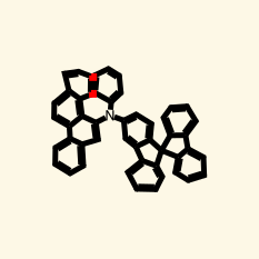 c1ccc(N(c2ccc3c(c2)-c2ccccc2C32c3ccccc3-c3ccccc32)c2cc3ccccc3c3ccc4ccccc4c23)cc1